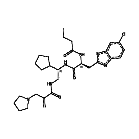 C=C(CN1CCCC1)C(=O)NC[C@@H](NC(=O)[C@H](Cc1nc2ccc(Cl)cc2s1)NC(=O)CCC)C1CCCC1